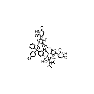 COc1ccc(C(OC[C@H]2O[C@@H](n3ccc(=O)[nH]c3=O)[C@H](F)[C@@H]2OCCC[C@H]2O[C@@H](n3ccc(=O)[nH]c3=O)[C@H](OC)[C@@H]2C(C#N)COP(O)N(C(C)C)C(C)C)(c2ccccc2)c2ccc(OC)cc2)cc1